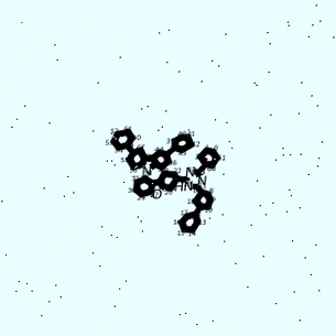 c1ccc(C2=NC(c3cccc(-c4ccccc4)c3)NC(c3ccc4c(c3)oc3cccc(-n5c6ccc(-c7ccccc7)cc6c6cc(-c7ccccc7)ccc65)c34)=N2)cc1